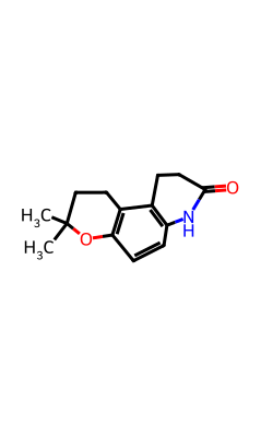 CC1(C)CCc2c(ccc3c2CCC(=O)N3)O1